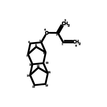 C=CC(=C)OC1CC2CC1C1C3CCC(C3)C21